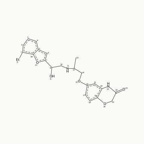 CCc1cccc2cc(C(O)CNC(C)COc3ccc4c(c3)NC(=O)CO4)oc12